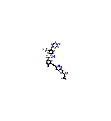 Cc1ccc(C(=O)Nc2ccc(CN3CCN(C)CC3)c(C(F)(F)F)c2)cc1C#Cc1ccc(CCC(=O)C2CC2)nn1